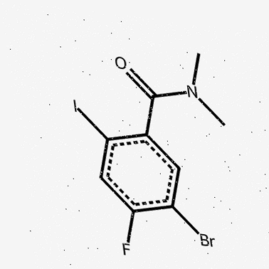 CN(C)C(=O)c1cc(Br)c(F)cc1I